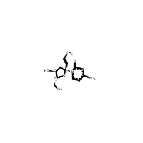 CC=C[C@]1(n2ccc(N)nc2=O)C[C@H](O)[C@@H](CO)O1